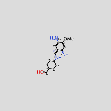 COC1=CC(=N)/C(=C\NC2CCC(CO)CC2)C=C1N